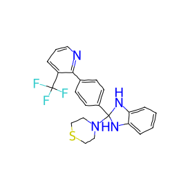 FC(F)(F)c1cccnc1-c1ccc(C2(N3CCSCC3)Nc3ccccc3N2)cc1